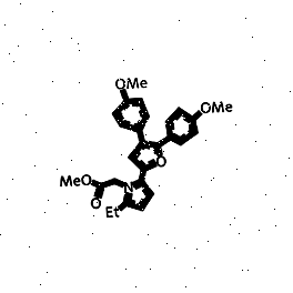 CCc1ccc(-c2cc(-c3ccc(OC)cc3)c(-c3ccc(OC)cc3)o2)n1CC(=O)OC